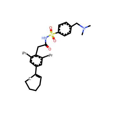 CC(C)c1cc(C2=CCCCCC2)cc(C(C)C)c1CC(=O)NS(=O)(=O)c1ccc(CN(C)C)cc1